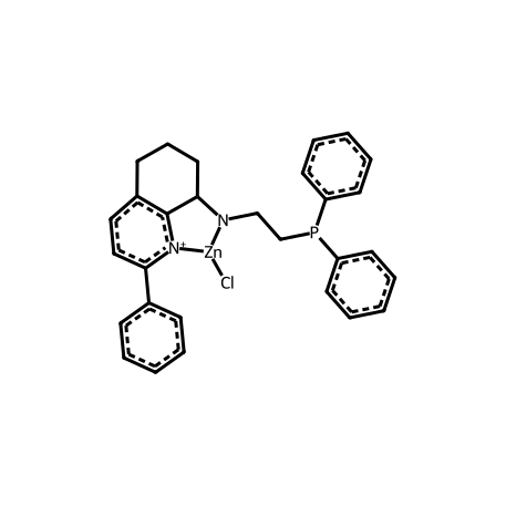 [Cl][Zn]1[N](CCP(c2ccccc2)c2ccccc2)C2CCCc3ccc(-c4ccccc4)[n+]1c32